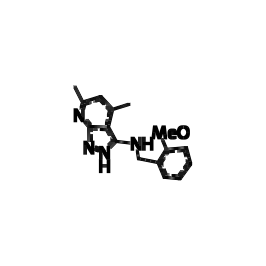 COc1ccccc1CNc1[nH]nc2nc(C)cc(C)c12